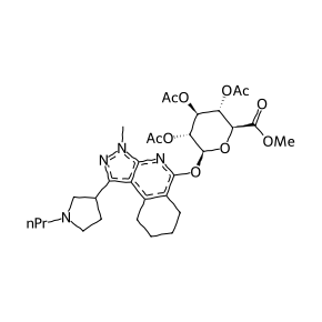 CCCN1CCC(c2nn(C)c3nc(O[C@@H]4O[C@H](C(=O)OC)[C@@H](OC(C)=O)[C@H](OC(C)=O)[C@H]4OC(C)=O)c4c(c23)CCCC4)C1